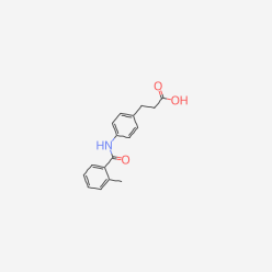 Cc1ccccc1C(=O)Nc1ccc(CCC(=O)O)cc1